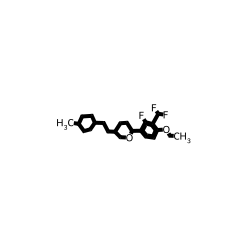 CCOc1ccc(C2CCC(CCC3CCC(C)CC3)CO2)c(F)c1C(F)F